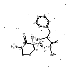 CCCNC(=O)C(Cc1ccccc1)N[PH](=O)[C@@]1(N)CCCN(N)C1=O